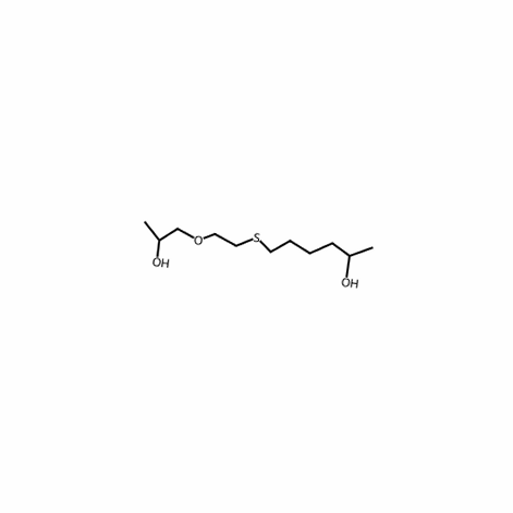 CC(O)CCCCSCCOCC(C)O